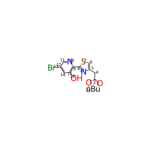 CCCCOC(=O)Cc1csc(-c2ncc(Br)cc2O)n1